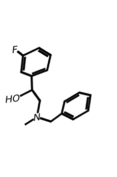 CN(Cc1ccccc1)CC(O)c1cccc(F)c1